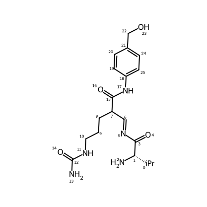 CC(C)[C@H](N)C(=O)/N=C/C(CCCNC(N)=O)C(=O)Nc1ccc(CO)cc1